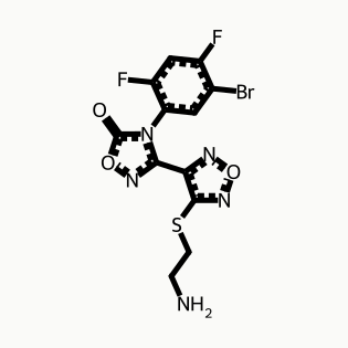 NCCSc1nonc1-c1noc(=O)n1-c1cc(Br)c(F)cc1F